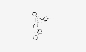 Brc1ccc(-c2nc(-c3ccccc3)nc(-c3cccc(-c4cccc5c6c(sc45)CCC=C6)c3)n2)cc1